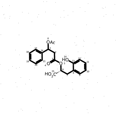 CC(=O)OC(CC(=O)O[C@H](Cc1ccccc1O)C(=O)O)c1ccccc1